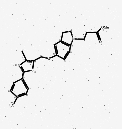 COC(=O)CCN1CCc2cc(SCc3sc(-c4ccc(C(F)(F)F)cc4)nc3C)ccc21